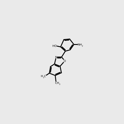 Cc1cc2nc(-c3cc(N)ccc3O)oc2cc1C